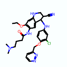 CCOc1cc2c(cc1NC(=O)CCCN(C)C)C(Nc1ccc(OCc3cccnn3)c(Cl)c1)C(C#N)CN2